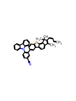 C=C/C=C\C1=C(C)c2ccc3c(sc4ccc(-c5cc(C#N)ccc5-n5c6ccccc6c6ccccc65)cc43)c2C1(C)C